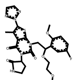 COCCOC(Cn1c(=O)n(C2CCNC2=O)c(=O)c2c(C)c(-n3nccn3)sc21)c1cc(F)ccc1OC